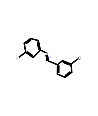 Fc1cccc(/N=C/c2cccc(Cl)c2)c1